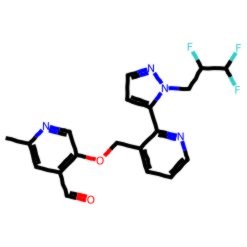 Cc1cc(C=O)c(OCc2cccnc2-c2ccnn2CC(F)C(F)F)cn1